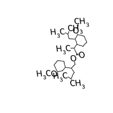 CCOC1CCCC(C(C)C(=O)OCC(CC(C)C)C2CCCC(OC)C2)C1CC(C)C